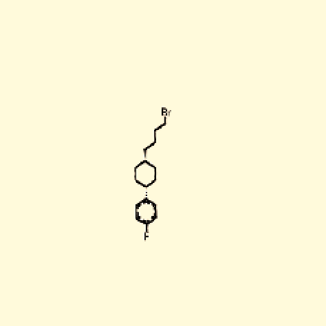 Fc1ccc([C@H]2CC[C@H](CCCCBr)CC2)cc1